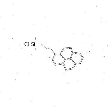 C[Si](C)(Cl)CCCc1ccc2ccc3cccc4ccc1c2c34